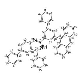 c1ccc(-c2cc(C3=Nc4ccc(-c5ccccc5)cc4C(c4ccccc4)N3)cc(-c3c4ccccc4cc4ccccc34)c2)cc1